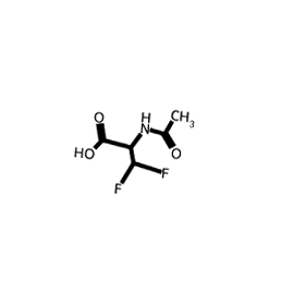 CC(=O)NC(C(=O)O)C(F)F